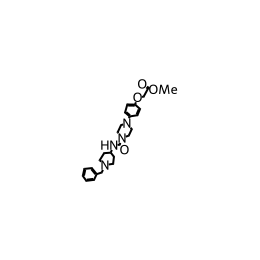 COC(=O)COc1ccc(N2CCN(C(=O)NC3CCN(Cc4ccccc4)CC3)CC2)cc1